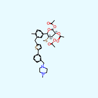 CS[C@H]1C(c2ccc(C)c(Cc3ccc(-c4cccc(CN5CCN(C)CC5)c4)s3)c2)O[C@H](OC(C)=O)[C@@H](OC(C)=O)[C@@H]1OC(C)=O